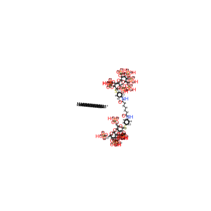 O=C(CCCCCC(=O)Nc1ccc(S[C@@H]2O[C@H](COS(=O)(=O)O)[C@@H](O[C@@H]3O[C@H](COS(=O)(=O)O)[C@@H](OS(=O)(=O)O)[C@H](OS(=O)(=O)O)[C@H]3OS(=O)(=O)O)[C@H](OS(=O)(=O)O)[C@H]2OS(=O)(=O)O)cc1)Nc1ccc(S[C@@H]2O[C@H](COS(=O)(=O)O)[C@@H](O[C@@H]3O[C@H](COS(=O)(=O)O)[C@@H](OS(=O)(=O)O)[C@H](OS(=O)(=O)O)[C@H]3OS(=O)(=O)O)[C@H](OS(=O)(=O)O)[C@H]2OS(=O)(=O)O)cc1.[Na+].[Na+].[Na+].[Na+].[Na+].[Na+].[Na+].[Na+].[Na+].[Na+].[Na+].[Na+].[Na+].[Na+]